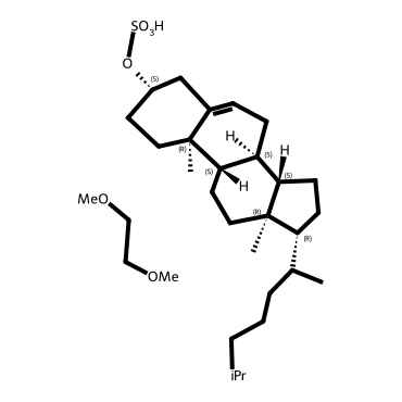 CC(C)CCCC(C)[C@H]1CC[C@H]2[C@@H]3CC=C4C[C@@H](OS(=O)(=O)O)CC[C@]4(C)[C@H]3CC[C@]12C.COCCOC